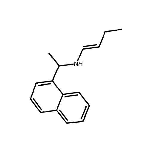 CC/C=C/NC(C)c1cccc2ccccc12